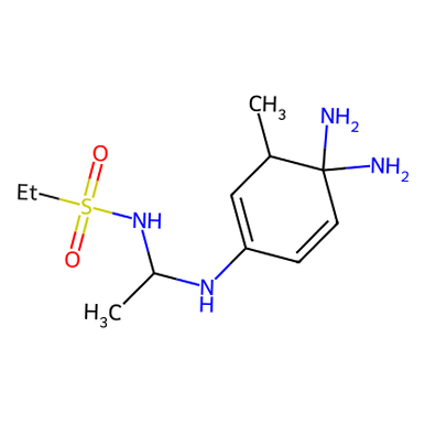 CCS(=O)(=O)NC(C)NC1=CC(C)C(N)(N)C=C1